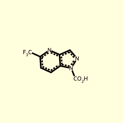 O=C(O)n1ncc2nc(C(F)(F)F)ccc21